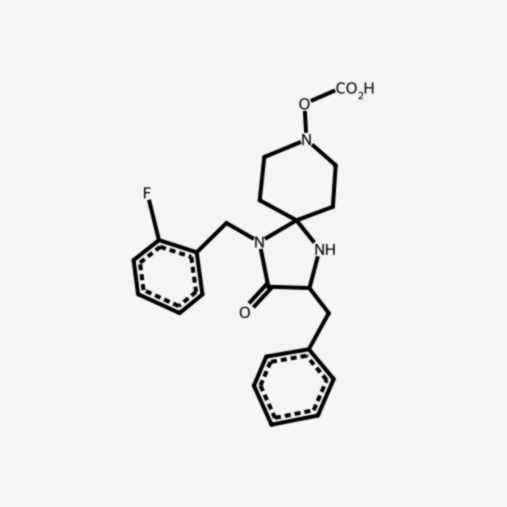 O=C(O)ON1CCC2(CC1)NC(Cc1ccccc1)C(=O)N2Cc1ccccc1F